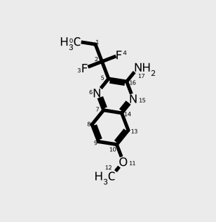 CCC(F)(F)c1nc2ccc(OC)cc2nc1N